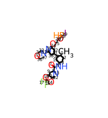 Cc1ccc(NC(=O)c2cc3c(cn2)OC(F)(F)O3)cc1-c1cc(OCCOPI)nc(N2CCOCC2)c1